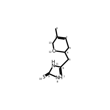 CC1=CCC(Cc2c[nH]c(=S)[nH]2)OC1